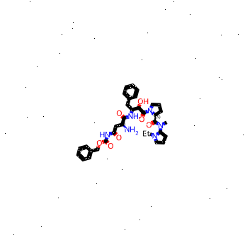 CCN1CCCC1N(C)C(=O)[C@@H]1CCCN1C(=O)C(O)C(Cc1ccccc1)NC(=O)[C@@H](N)CC(=O)NC(=O)OCc1ccccc1